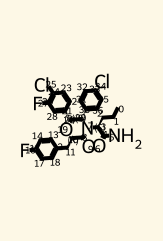 CCC[C@@H](C(N)=O)N1C(=O)[C@@H](Cc2ccc(F)cc2)O[C@H](c2ccc(Cl)c(F)c2)[C@@H]1c1ccc(Cl)cc1